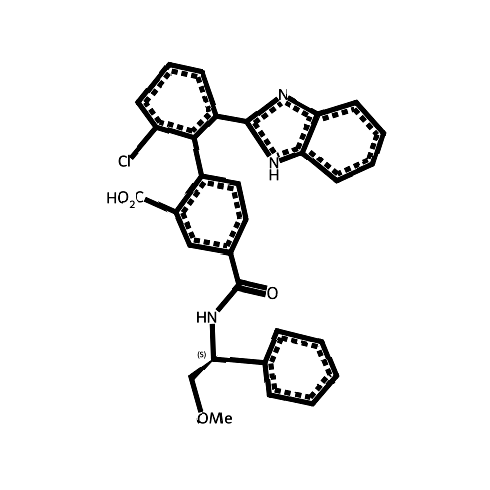 COC[C@@H](NC(=O)c1ccc(-c2c(Cl)cccc2-c2nc3ccccc3[nH]2)c(C(=O)O)c1)c1ccccc1